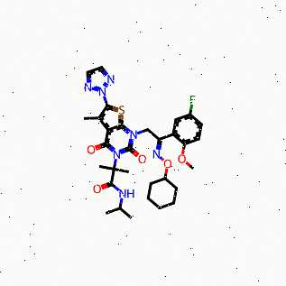 COc1ccc(F)cc1/C(Cn1c(=O)n(C(C)(C)C(=O)NC(C)C)c(=O)c2c(C)c(-n3nccn3)sc21)=N\OC1CCCCC1